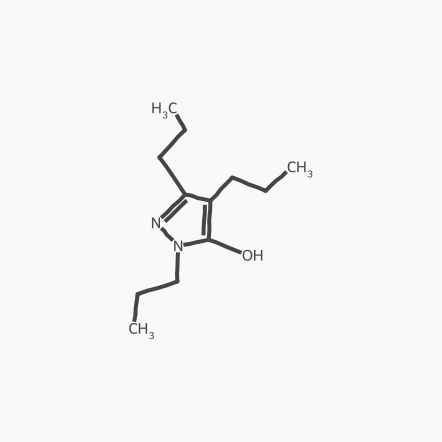 CCCc1nn(CCC)c(O)c1CCC